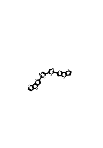 c1cc2sc3cc(-c4ncc(-c5cnc(-c6cc7sc8ccsc8c7s6)s5)s4)sc3c2s1